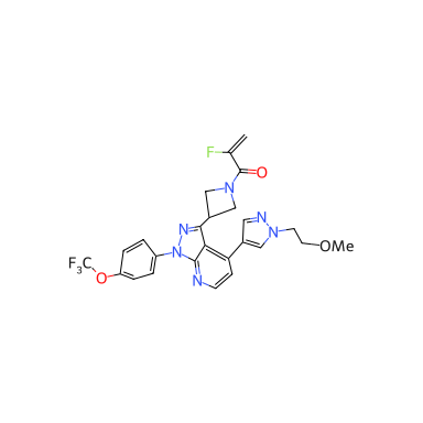 C=C(F)C(=O)N1CC(c2nn(-c3ccc(OC(F)(F)F)cc3)c3nccc(-c4cnn(CCOC)c4)c23)C1